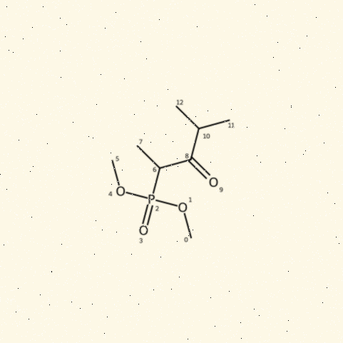 COP(=O)(OC)C(C)C(=O)C(C)C